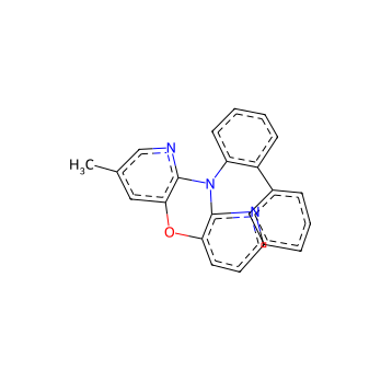 Cc1cnc2c(c1)Oc1cccnc1N2c1ccccc1-c1ccccc1